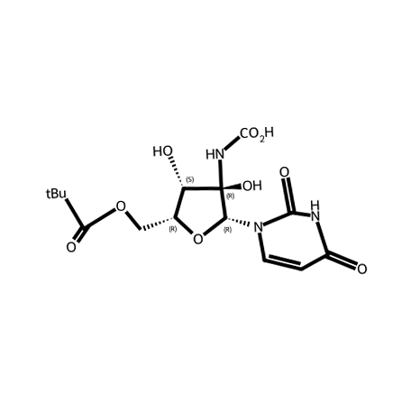 CC(C)(C)C(=O)OC[C@H]1O[C@@H](n2ccc(=O)[nH]c2=O)[C@@](O)(NC(=O)O)[C@H]1O